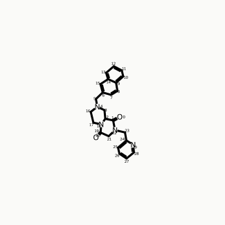 O=C1C2CN(Cc3ccc4ccccc4c3)CCN2C(=O)CN1Cc1ccccn1